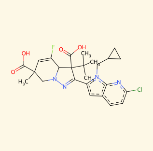 CC1(C(=O)O)C=C(F)C2N(C1)N=C(c1cc3ccc(Cl)nc3n1CC1CC1)C2(C(=O)O)C(C)(C)C